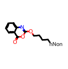 CCCCCCCCCCCCCOc1nc2ccccc2c(=O)o1